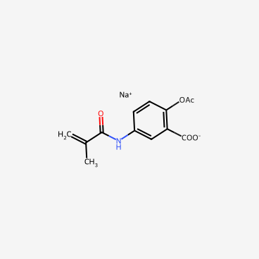 C=C(C)C(=O)Nc1ccc(OC(C)=O)c(C(=O)[O-])c1.[Na+]